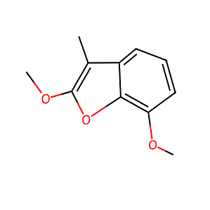 COc1oc2c(OC)cccc2c1C